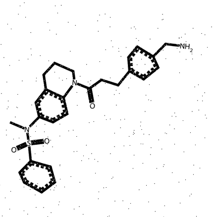 CN(c1ccc2c(c1)CCCN2C(=O)CCc1ccc(CN)cc1)S(=O)(=O)c1ccccc1